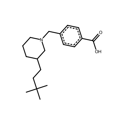 CC(C)(C)CCC1CCCN(Cc2ccc(C(=O)O)cc2)C1